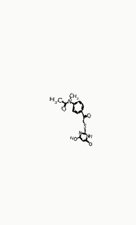 CC(=O)N(C)c1ccc(C(=O)CSc2nc(O)cc(=O)[nH]2)cc1